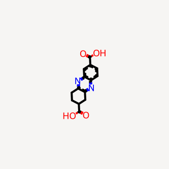 O=C(O)c1ccc2nc3c(nc2c1)CCC(C(=O)O)C3